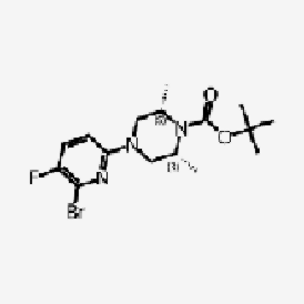 C[C@@H]1CN(c2ccc(F)c(Br)n2)C[C@H](C)N1C(=O)OC(C)(C)C